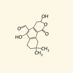 CC1(C)CCc2c(O)c(C=O)c3c(c2C1)C(=O)OC(O)C3